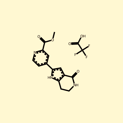 COC(=O)c1cc(-c2cc3c([nH]2)CCNC3=O)ccn1.O=C(O)C(F)(F)F